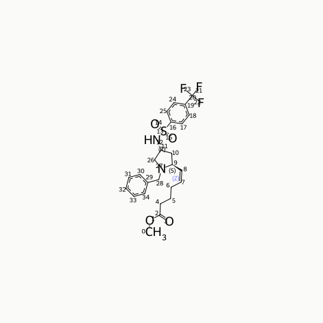 COC(=O)CCC/C=C\[C@@H]1C[C@@H](NS(=O)(=O)c2ccc(C(F)(F)F)cc2)CN1Cc1ccccc1